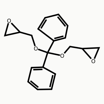 c1ccc(C(OCC2CO2)(OCC2CO2)c2ccccc2)cc1